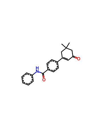 CC1(C)CC(=O)C=C(c2ccc(C(=O)Nc3ccccc3)cc2)C1